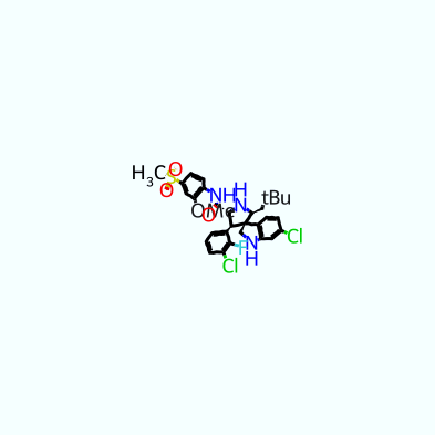 COc1cc(S(C)(=O)=O)ccc1NC(=O)[C@@H]1N[C@@H](CC(C)(C)C)[C@@]2(CNc3cc(Cl)ccc32)[C@H]1c1cccc(Cl)c1F